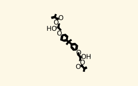 C=C(C)C(=O)OC[C@@H](O)COc1ccc(C(C)(C)c2ccc(OC[C@H](O)COC(=O)C(=C)C)cc2)cc1